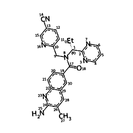 CC[C@H](c1ncccn1)N(Cc1ccc(C#N)cn1)C(=O)c1ccc2nc(N)c(C)cc2c1